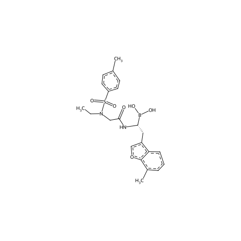 CCN(CC(=O)N[C@@H](Cc1coc2c(C)cccc12)B(O)O)S(=O)(=O)c1ccc(C)cc1